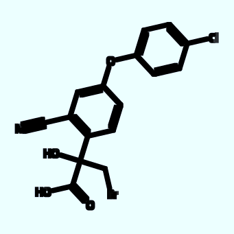 N#Cc1cc(Oc2ccc(Cl)cc2)ccc1C(O)(CBr)C(=O)O